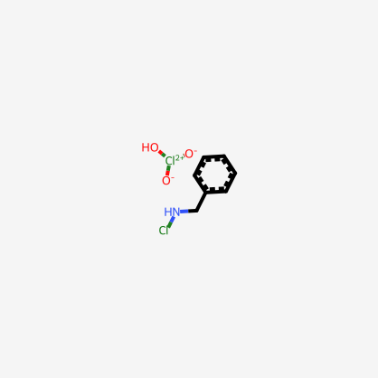 ClNCc1ccccc1.[O-][Cl+2]([O-])O